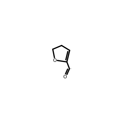 O=[C]C1=CCCO1